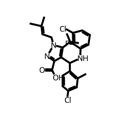 CC(C)=CCn1nc(C(=O)O)c(C(Nc2cccc(Cl)c2F)c2ccc(Cl)cc2C)c1C(C)C